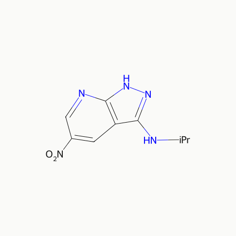 CC(C)Nc1n[nH]c2ncc([N+](=O)[O-])cc12